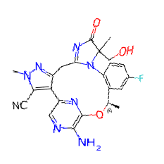 C[C@H]1Oc2nc(cnc2N)-c2c(nn(C)c2C#N)CC2=NC(=O)C(C)(CO)N2c2ccc(F)cc21